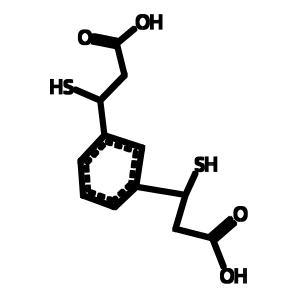 O=C(O)CC(S)c1cccc(C(S)CC(=O)O)c1